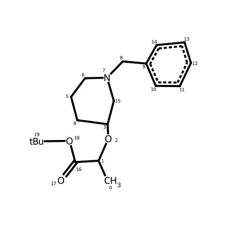 CC(OC1CCCN(Cc2ccccc2)C1)C(=O)OC(C)(C)C